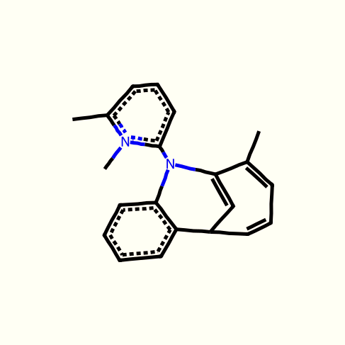 CC1=CC=CC2C=C1N(c1cccc(C)[n+]1C)c1ccccc12